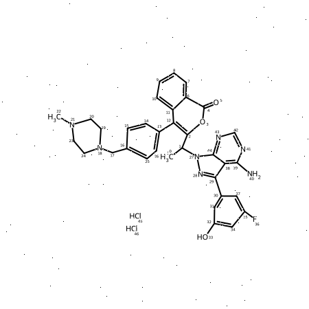 CC(c1oc(=O)c2ccccc2c1-c1ccc(CN2CCN(C)CC2)cc1)n1nc(-c2cc(O)cc(F)c2)c2c(N)ncnc21.Cl.Cl